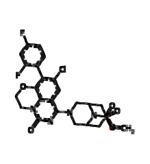 C=CC(=O)N1C2CN(c3nc(=O)n4c5c(c(-c6ccc(F)cc6F)c(Cl)cc35)OCC4)CC1CS(=O)(=O)C2